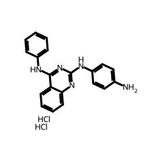 Cl.Cl.Nc1ccc(Nc2nc(Nc3ccccc3)c3ccccc3n2)cc1